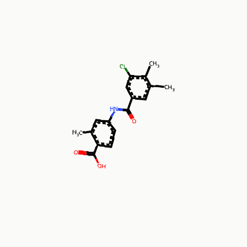 Cc1cc(NC(=O)c2cc(C)c(C)c(Cl)c2)ccc1C(=O)O